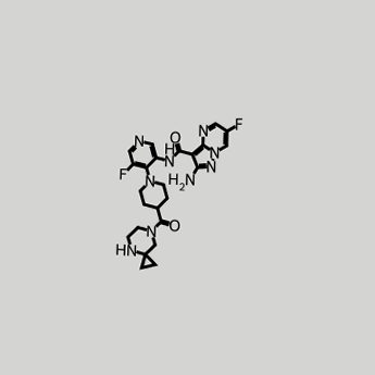 Nc1nn2cc(F)cnc2c1C(=O)Nc1cncc(F)c1N1CCC(C(=O)N2CCNC3(CC3)C2)CC1